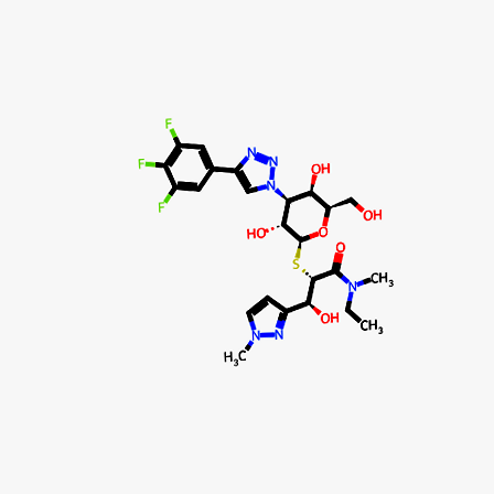 CCN(C)C(=O)[C@@H](S[C@@H]1O[C@H](CO)[C@H](O)[C@H](n2cc(-c3cc(F)c(F)c(F)c3)nn2)[C@H]1O)[C@@H](O)c1ccn(C)n1